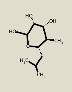 CC(C)C[C@@H]1OC(O)[C@H](O)[C@H](O)[C@H]1C